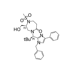 CC(C)(C)[C@H](c1nc(-c2ccccc2)cn1Cc1ccccc1)N1C[C@@H](CO)N(S(C)(=O)=O)CCC1=O